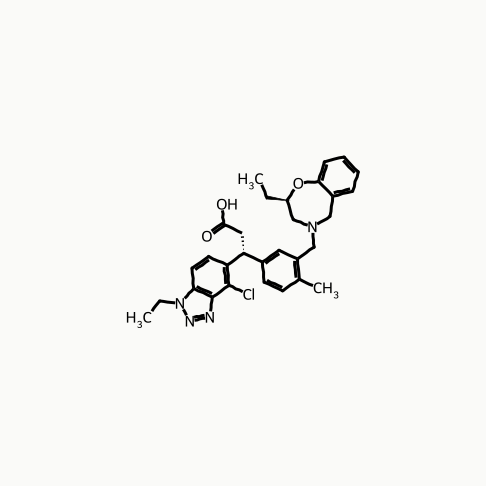 CC[C@@H]1CN(Cc2cc([C@@H](CC(=O)O)c3ccc4c(nnn4CC)c3Cl)ccc2C)Cc2ccccc2O1